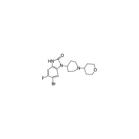 O=c1[nH]c2cc(F)c(Br)cc2n1C1CCN(C2CCOCC2)CC1